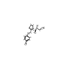 N#CCNC(=O)[C@H]1CCC[C@@H]1CSc1ccc(Cl)cc1